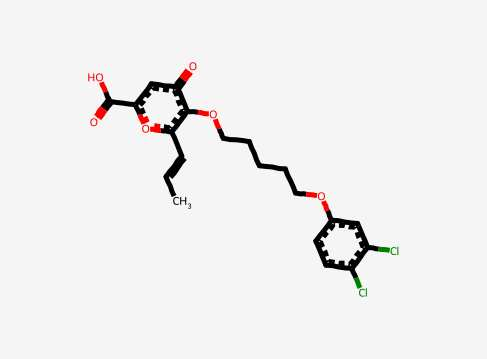 CC=Cc1oc(C(=O)O)cc(=O)c1OCCCCCOc1ccc(Cl)c(Cl)c1